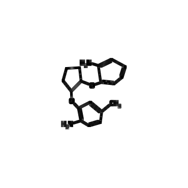 Cc1ccc(N)c(OC2CCCC2Oc2ccccc2N)c1